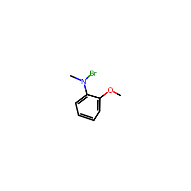 COc1ccccc1N(C)Br